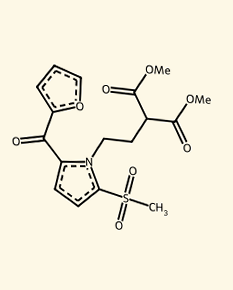 COC(=O)C(CCn1c(C(=O)c2ccco2)ccc1S(C)(=O)=O)C(=O)OC